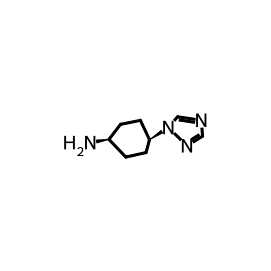 N[C@H]1CC[C@@H](n2cncn2)CC1